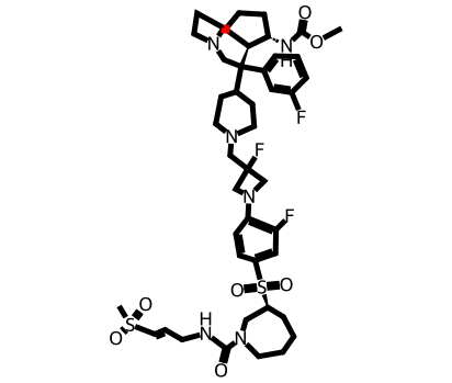 COC(=O)N[C@H]1CCC[C@@H]1C(CN1CCC1)(c1cccc(F)c1)C1CCN(CC2(F)CN(c3ccc(S(=O)(=O)[C@H]4CCCCN(C(=O)NC/C=C/S(C)(=O)=O)C4)cc3F)C2)CC1